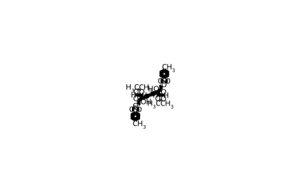 Cc1ccc(S(=O)(=O)OCC2O[C@@H]3OC(C)(C)O[C@@H]3[C@@]2(O)C#CC#C[C@]2(O)C(COS(=O)(=O)c3ccc(C)cc3)O[C@@H]3OC(C)(C)O[C@@H]32)cc1